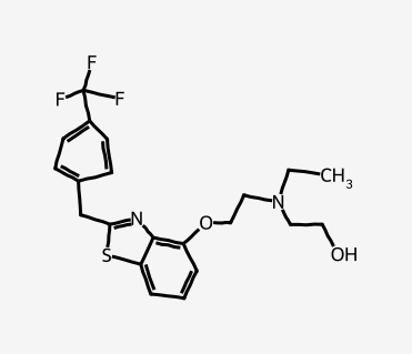 CCN(CCO)CCOc1cccc2sc(Cc3ccc(C(F)(F)F)cc3)nc12